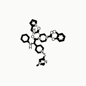 Cn1cnc(SN2CCC([C@@H](NC3CCCCC3)C(=O)N3CCN(C(=O)Oc4ccccc4Cl)C[C@H]3C(=O)NCc3cccs3)CC2)c1